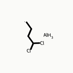 [AlH3].[CH2]CCC(Cl)Cl